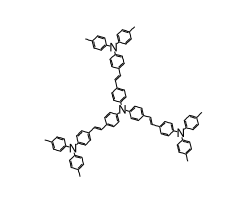 Cc1ccc(N(c2ccc(C)cc2)c2ccc(C=Cc3ccc(N(c4ccc(C=Cc5ccc(N(c6ccc(C)cc6)c6ccc(C)cc6)cc5)cc4)c4ccc(C=Cc5ccc(N(c6ccc(C)cc6)c6ccc(C)cc6)cc5)cc4)cc3)cc2)cc1